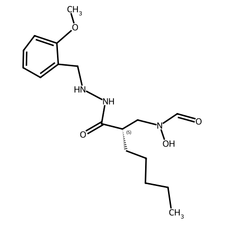 CCCCC[C@@H](CN(O)C=O)C(=O)NNCc1ccccc1OC